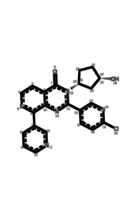 O=c1c2ccnc(-c3cccnc3)c2nc(-c2ccc(Cl)nc2)n1[C@@H]1CC[C@H](O)C1